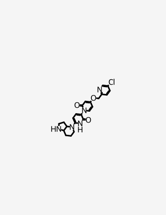 O=c1[nH]c(N2CCCC3NCCC32)ccc1-n1ccc(OCc2ccc(Cl)cn2)cc1=O